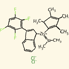 CC1=C(C)C(C)[C]([Zr+2]([CH]2C=C(c3c(F)c(F)cc(F)c3F)c3ccccc32)=[Si](C)C)=C1C.[Cl-].[Cl-]